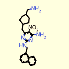 NCC1CCC(Cc2nc(NCc3cccc4ccccc34)nc(N)c2[N+](=O)[O-])CC1